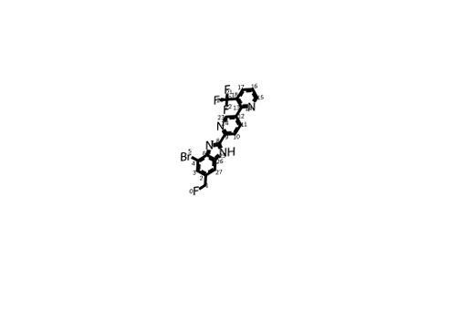 FCc1cc(Br)c2nc(-c3ccc(-c4ncccc4C(F)(F)F)cn3)[nH]c2c1